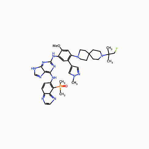 COc1cc(N2CCC3(CC2)CCN(C(C)(C)CF)CC3)c(-c2cnn(C)c2)cc1Nc1nc(Nc2ccc3nccnc3c2P(C)(C)=O)c2nc[nH]c2n1